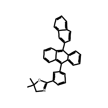 CC1(C)CN=C(c2cccc(-c3c4ccccc4c(-c4ccc5ccccc5c4)c4ccccc34)c2)O1